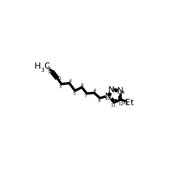 CC#CCCCCCCCn1cc(CC)nn1